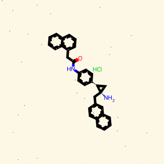 Cl.N[C@@]1(Cc2ccc3ccccc3c2)C[C@H]1c1ccc(NC(=O)Cc2cccc3ccccc23)cc1